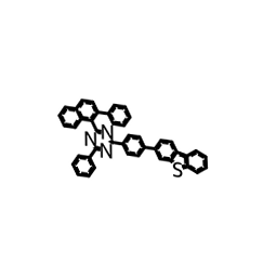 c1ccc(-c2nc(-c3ccc(-c4ccc5c(c4)sc4ccccc45)cc3)nc(-c3c(-c4ccccc4)ccc4ccccc34)n2)cc1